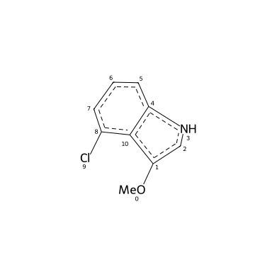 COc1c[nH]c2cccc(Cl)c12